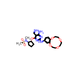 CN([C@@H]1CCC[C@H]1Oc1nc(Nc2ccc3c(c2)OCCOCCOCCO3)nc(N)c1C=N)S(C)(=O)=O